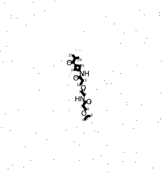 CC(C)OCCC(=O)NCCOCCC(=O)N[C@H]1C[C@@H](C(=O)C(C)C)C1